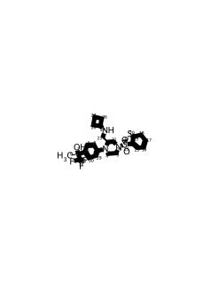 C[C@](O)(c1ccc(N2CCN(S(=O)(=O)C3=CC=CCC3=S)C[C@@H]2CNC2CCC2)cc1)C(F)(F)F